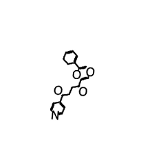 O=C(CCC(=O)c1ccncc1)C1=COC=C(C2=CC=CCC2)O1